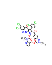 CNCC(=O)OCc1cccnc1N(C)C(=O)OCn1c(N)c(C(=O)c2ccc(Cl)c(Cl)c2)c(-c2ccc(Cl)cc2Cl)c1C(=O)c1ccccc1